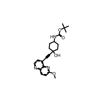 COc1ccc2nccc(C#CC3(O)CCC(NC(=O)OC(C)(C)C)CC3)c2n1